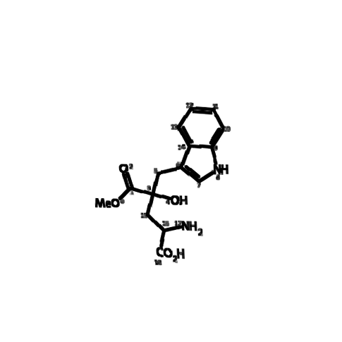 COC(=O)C(O)(Cc1c[nH]c2ccccc12)CC(N)C(=O)O